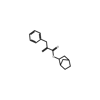 C=C(Cc1ccccc1)C(=O)OC1CC2CCC1C2